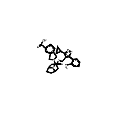 Cc1ccccc1-c1noc(C2CC2)c1COC1CC2CCC(C1)N2C(=O)N1Cc2ccc(C(=O)O)cc2C1